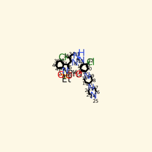 CCS(=O)(=O)n1cc(-c2nc(Nc3cc(OC(C)C)c(N4CCC(N5CCN(C)CC5)CC4)cc3Cl)ncc2Cl)c2ccccc21